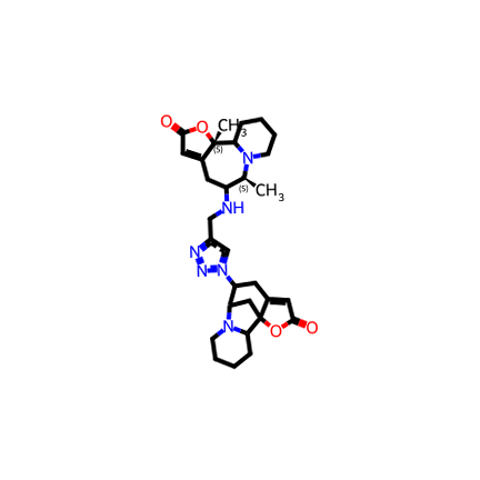 C[C@H]1C(NCc2cn(C3CC4=CC(=O)OC45CC3N3CCCCC35)nn2)CC2=CC(=O)O[C@]2(C)C2CCCCN21